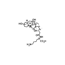 C[C@H](CCC(=O)N[C@@H](CCCCN)C(=O)O)[C@H]1CC[C@H]2[C@@H]3[C@H](O)C[C@@H]4C[C@H](O)CC[C@]4(C)[C@H]3C[C@H](O)[C@]12C